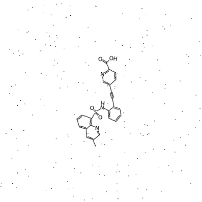 Cc1cnc2c(S(=O)(=O)Nc3ccccc3C#Cc3ccc(C(=O)O)nc3)cccc2c1